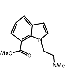 CNCCn1ccc2cccc(C(=O)OC)c21